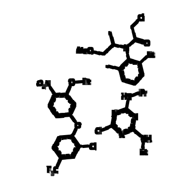 CCNc1nc(Cl)nc(NC(C)C)n1.CCOc1cc(Oc2ccc(C(F)(F)F)cc2Cl)ccc1[N+](=O)[O-].CCc1cccc(C)c1N(C(=O)CCl)C(C)COC